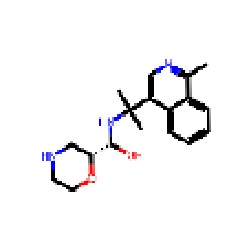 Cc1ncc(C(C)(C)NC(O)[C@H]2CNCCO2)c2ccccc12